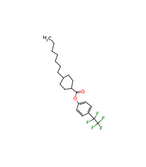 CCCCCCCC1CCC(C(=O)Oc2ccc(C(F)(F)C(F)(F)F)cc2)CC1